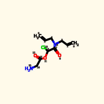 C=CCN(CC=C)C(=O)C(Cl)OC(=O)CN